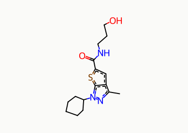 Cc1nn(C2CCCCC2)c2sc(C(=O)NCCCO)cc12